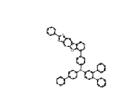 c1ccc(-c2ccc(N(c3ccc(-c4cccc5c4oc4cc6oc(-c7ccccc7)nc6cc45)cc3)c3ccc(-c4ccccc4)c(-c4ccccc4)c3)cc2)cc1